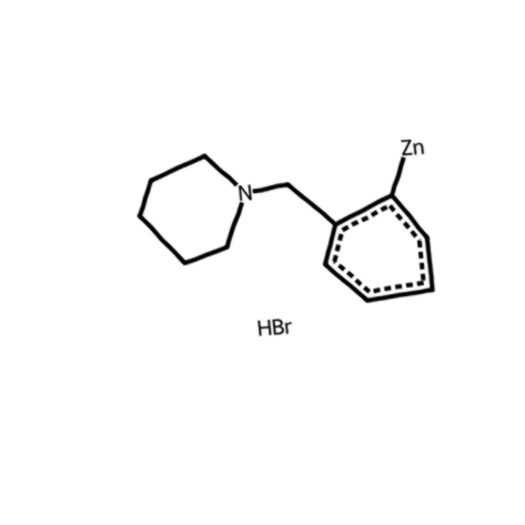 Br.[Zn][c]1ccccc1CN1CCCCC1